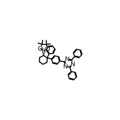 CC1(C)OB(C2CCCCC2(c2ccccc2)c2ccc(-c3nc(-c4ccccc4)nc(-c4ccccc4)n3)cc2)OC1(C)C